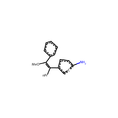 CCCC(=C(OC)c1ccccc1)c1ccc(N)cc1